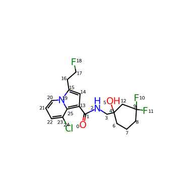 O=C(NCC1(O)CCCC(F)(F)C1)c1cc(CCF)n2cccc(Cl)c12